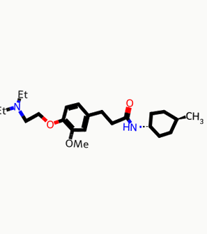 CCN(CC)CCOc1ccc(CCC(=O)N[C@H]2CC[C@H](C)CC2)cc1OC